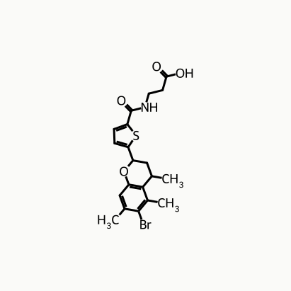 Cc1cc2c(c(C)c1Br)C(C)CC(c1ccc(C(=O)NCCC(=O)O)s1)O2